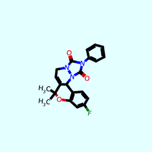 CC1(C)Oc2cc(F)ccc2C2C1=CCn1c(=O)n(-c3ccccc3)c(=O)n12